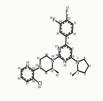 C[C@@H]1CCCN1c1cc(-c2ccc(F)c(F)c2)nc(N2CCN(c3ncccc3Cl)C[C@@H]2C)n1